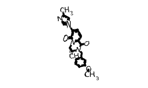 COc1cccc(CN2C(=O)c3ccc(-n4cnc(C)c4)c(=O)n3C[C@H]2C)c1